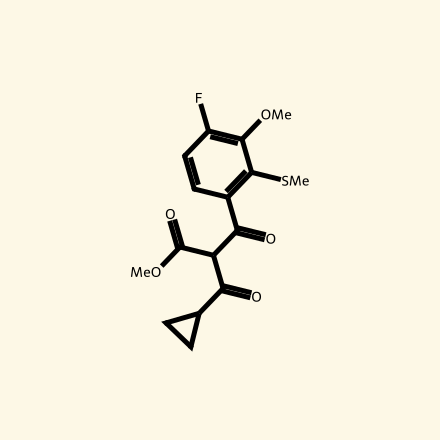 COC(=O)C(C(=O)c1ccc(F)c(OC)c1SC)C(=O)C1CC1